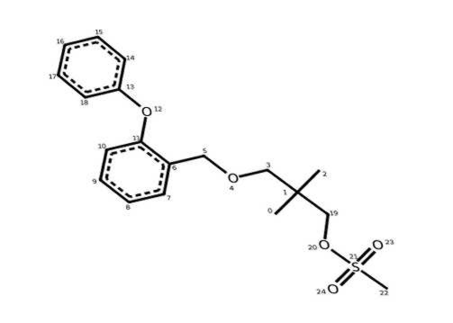 CC(C)(COCc1ccccc1Oc1ccccc1)COS(C)(=O)=O